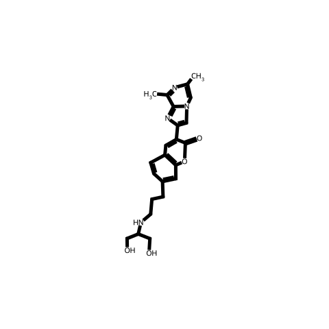 Cc1cn2cc(-c3cc4ccc(CCCNC(CO)CO)cc4oc3=O)nc2c(C)n1